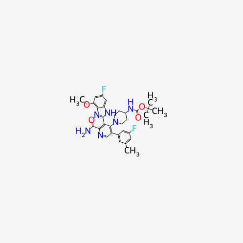 COc1cc(F)cc2[nH]c(-c3c(C(N)=O)ncc(-c4cc(C)cc(F)c4)c3N3CCC(NC(=O)OC(C)(C)C)CC3)nc12